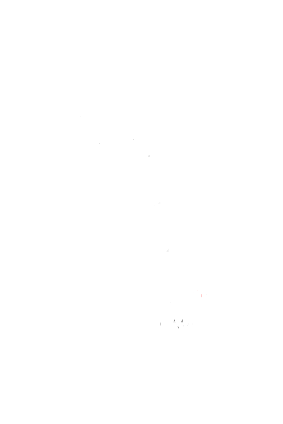 COC(=O)CCCCCCC1CCCC1